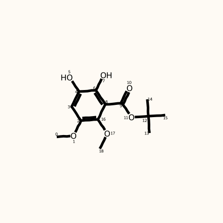 COc1cc(O)c(O)c(C(=O)OC(C)(C)C)c1OC